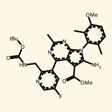 COC(=O)c1c(N)n(-c2c(C)ccc(OC)c2C)c2nc(C)nc(-c3cc(F)cnc3CNC(=O)OC(C)(C)C)c12